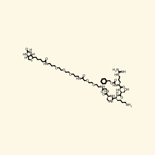 CC(C)C[C@H](NC(=O)[C@H](CCCCN)NC(=O)[C@H](CO)NC(=O)[C@H](CCCNC(=N)N)NC(=O)OCc1ccccc1)C(=O)NCC(=O)NCCOCCOCC(=O)NCCCOCCOCCOCCCNC(=O)CCCCC1SC[C@@H]2NC(=O)N[C@H]12